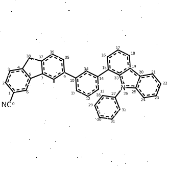 N#Cc1ccc2c(c1)-c1cc(-c3cccc(-c4cccc5c6ccccc6n(-c6ccccc6)c45)c3)ccc1C2